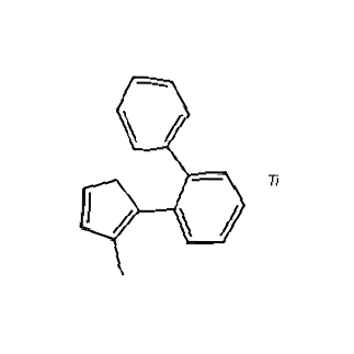 CC1=C(c2ccccc2-c2ccccc2)CC=C1.[Ti]